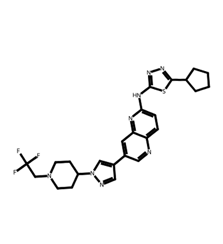 FC(F)(F)CN1CCC(n2cc(-c3cnc4ccc(Nc5nnc(C6CCCC6)s5)nc4c3)cn2)CC1